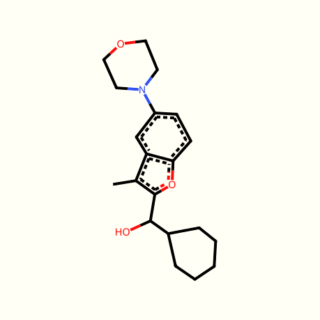 Cc1c(C(O)C2CCCCC2)oc2ccc(N3CCOCC3)cc12